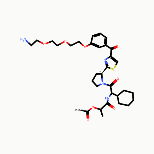 CNC(=O)OC(C)C(=O)NC(C(=O)N1CCC[C@H]1c1nc(C(=O)c2cccc(OCCOCCOCCN)c2)cs1)C1CCCCC1